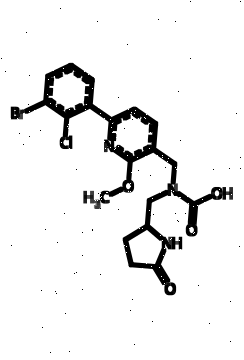 COc1nc(-c2cccc(Br)c2Cl)ccc1CN(CC1CCC(=O)N1)C(=O)O